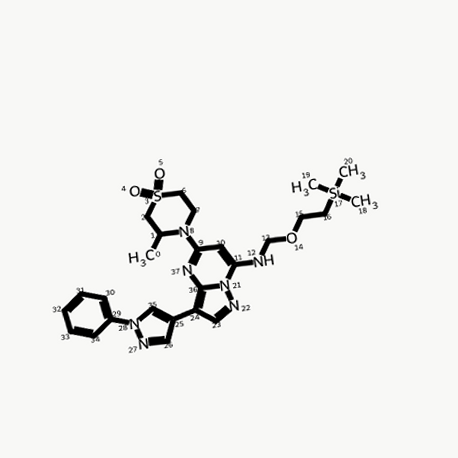 CC1CS(=O)(=O)CCN1c1cc(NCOCC[Si](C)(C)C)n2ncc(-c3cnn(-c4ccccc4)c3)c2n1